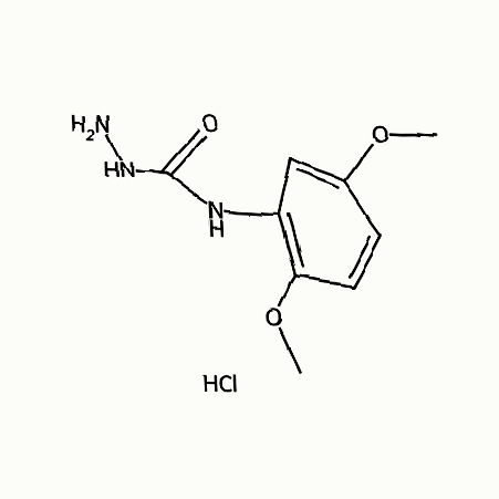 COc1ccc(OC)c(NC(=O)NN)c1.Cl